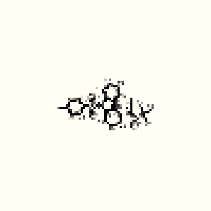 Cc1ccc(S(=O)(=O)n2c3c(c4ccccc42)[C@H](N[S@@+]([O-])C(C)(C)C)CCC3)cc1